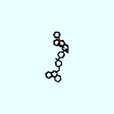 CC1(C2C=CC(N(c3ccc(-c4ccccc4)cc3)C34C=CC(c5ccccc5)CC3C4)CC2)C=CC(Cc2cc3ccccc3c3c2CCCC3)CC1